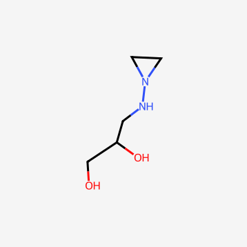 OCC(O)CNN1CC1